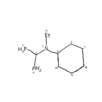 CCN(C(P)P)C1CCCCC1